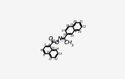 C/C(=N\OC(=O)c1cccc2ccccc12)c1ccc2ccccc2c1